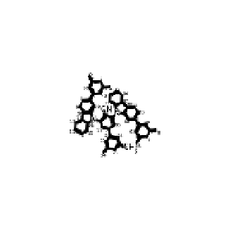 Cc1cc(C)cc(-c2ccc3c4ccccc4n(-c4cc(-c5cc(C)cc(C(F)(F)F)c5)cc(-n5c6ccccc6c6ccc(-c7cc(C)cc(C)c7)cc65)c4C#N)c3c2)c1